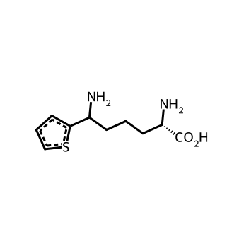 NC(CCC[C@H](N)C(=O)O)c1cccs1